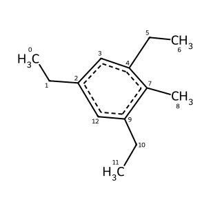 CCc1cc(CC)c(C)c(CC)c1